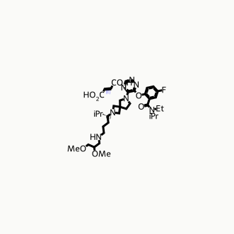 CCN(C(=O)c1cc(F)ccc1Oc1nncnc1N1CCC2(C1)CN([C@H](CCCNCC(COC)OC)C(C)C)C2)C(C)C.O=C(O)/C=C/C(=O)O